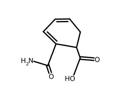 NC(=O)C1=CC=CCC1C(=O)O